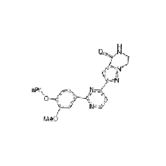 CCCOc1ccc(-c2nccc(-c3cc4n(n3)CCNC4=O)n2)cc1OC